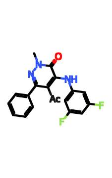 CC(=O)c1c(-c2ccccc2)nn(C)c(=O)c1Nc1cc(F)cc(F)c1